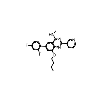 CCCCOc1cc(-c2ccc(F)cc2F)cc2c(NC)nc(-c3cccnc3)nc12